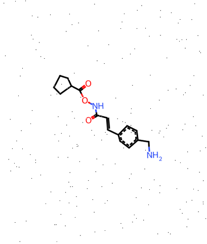 NCc1ccc(/C=C/C(=O)NOC(=O)C2CCCC2)cc1